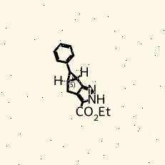 CCOC(=O)c1[nH]nc2c1C[C@H]1C(c3ccccc3)[C@H]21